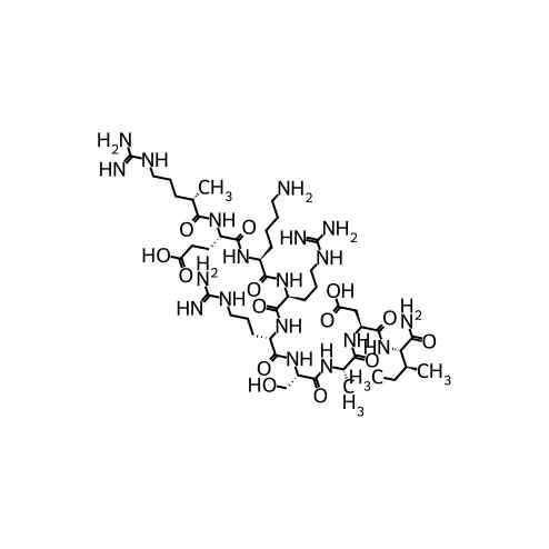 CC[C@H](C)[C@H](NC(=O)[C@H](CC(=O)O)NC(=O)[C@H](C)NC(=O)[C@H](CO)NC(=O)[C@H](CCCNC(=N)N)NC(=O)[C@H](CCCNC(=N)N)NC(=O)[C@H](CCCCN)NC(=O)[C@H](CCC(=O)O)NC(=O)[C@@H](C)CCCNC(=N)N)C(N)=O